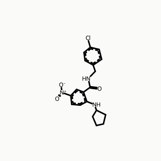 O=C(NCc1ccc(Cl)cc1)c1cc([N+](=O)[O-])ccc1NC1CCCC1